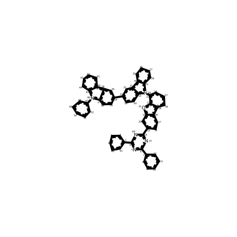 c1ccc(-c2nc(-c3ccccc3)nc(-c3ccc4c(c3)oc3c(-n5c6ccccc6c6cc(-c7ccc8c(c7)c7ccccc7n8-c7ccccc7)ccc65)cccc34)n2)cc1